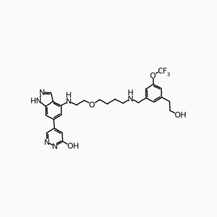 OCCc1cc(CNCCCCOCCNc2cc(-c3cnnc(O)c3)cc3[nH]ncc23)cc(OC(F)(F)F)c1